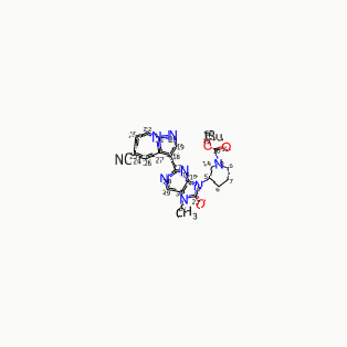 Cn1c(=O)n(C2CCCN(C(=O)OC(C)(C)C)C2)c2nc(-c3cnn4ccc(C#N)cc34)ncc21